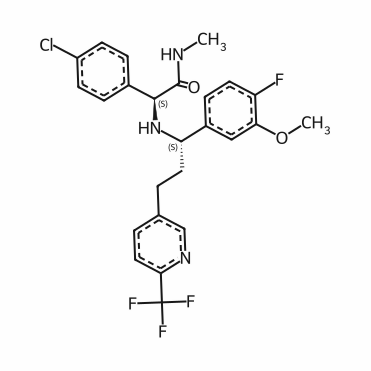 CNC(=O)[C@@H](N[C@@H](CCc1ccc(C(F)(F)F)nc1)c1ccc(F)c(OC)c1)c1ccc(Cl)cc1